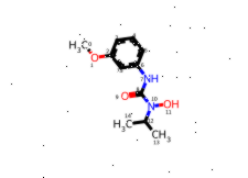 COc1cccc(NC(=O)N(O)C(C)C)c1